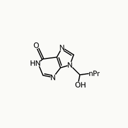 CCCC(O)n1cnc2c(=O)[nH]cnc21